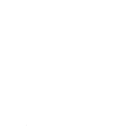 CCOc1cc(CC)cc(Oc2cc(Cl)cc(C#N)c2)c1